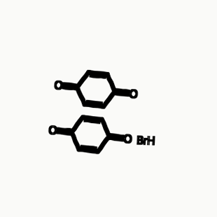 Br.O=C1C=CC(=O)C=C1.O=C1C=CC(=O)C=C1